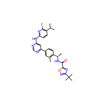 Cc1cc(-c2cc(Nc3ccc(C(C)C)c(F)n3)ncn2)ccc1[C@@H](C)NC(=O)c1nc(C(C)(C)C)no1